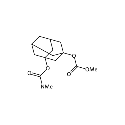 CNC(=O)OC12CC3CC(C1)CC(OC(=O)OC)(C3)C2